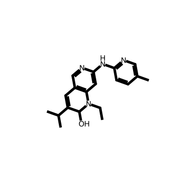 CCN1c2cc(Nc3ccc(C)cn3)ncc2C=C(C(C)C)C1O